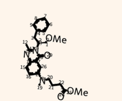 COC[C@H](Cc1ccccc1)n1c(C)nc2ccc(N(C)CCCC(=O)OC)cc2c1=O